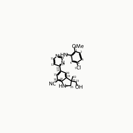 COc1ccc(Cl)cc1Nc1nccc(-c2cc(C#N)c3c(c2)C(C)(CO)CN3)n1